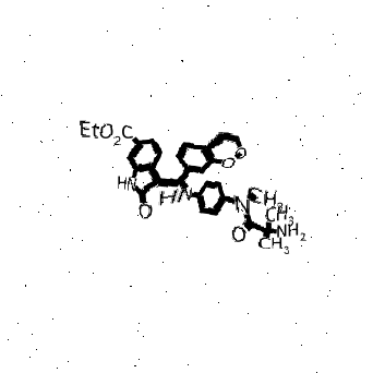 CCOC(=O)c1ccc2c(c1)NC(=O)/C2=C(\Nc1ccc(N(C)C(=O)C(C)(C)N)cc1)c1ccc2c(c1)OOCC2